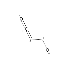 [O]CC=C=O